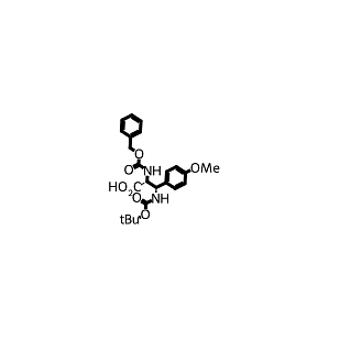 COc1ccc([C@H](NC(=O)OC(C)(C)C)[C@@H](NC(=O)OCc2ccccc2)C(=O)O)cc1